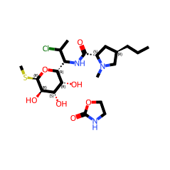 CCC[C@@H]1C[C@@H](C(=O)NC(C(C)Cl)[C@H]2O[C@H](SC)[C@H](O)[C@@H](O)[C@H]2O)N(C)C1.O=C1NCCO1